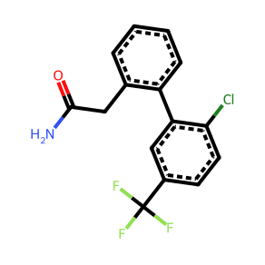 NC(=O)Cc1ccccc1-c1cc(C(F)(F)F)ccc1Cl